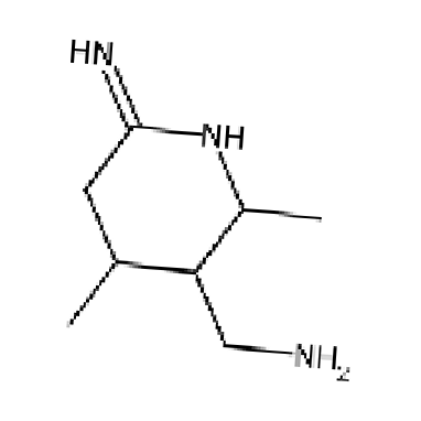 CC1CC(=N)NC(C)C1CN